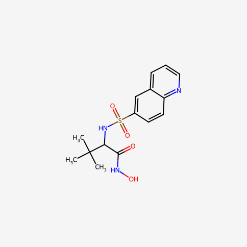 CC(C)(C)C(NS(=O)(=O)c1ccc2ncccc2c1)C(=O)NO